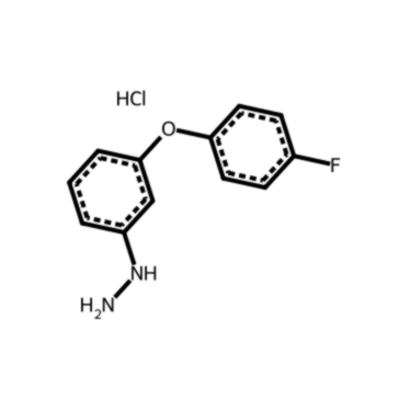 Cl.NNc1cccc(Oc2ccc(F)cc2)c1